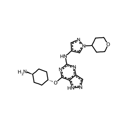 N[C@H]1CC[C@H](Oc2nc(Nc3cnn(C4CCOCC4)c3)nc3cn[nH]c23)CC1